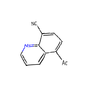 CC(=O)c1ccc(C#N)c2ncccc12